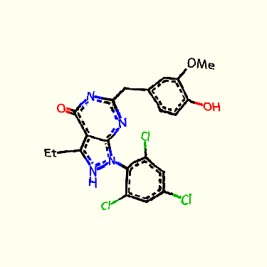 CCc1[nH]n(-c2c(Cl)cc(Cl)cc2Cl)c2nc(Cc3ccc(O)c(OC)c3)nc(=O)c1-2